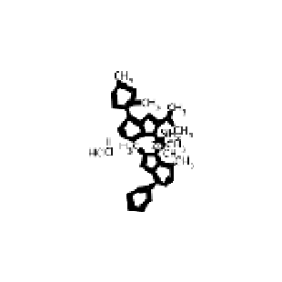 CC1=Cc2c(-c3ccccc3)ccc(C)c2[CH]1[Zr]([CH3])([CH3])(=[SiH2])[CH]1C(C(C)C)=Cc2c(-c3ccc(C)cc3C)cccc21.Cl.Cl